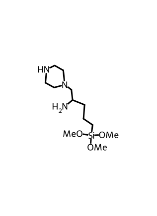 CO[Si](CCCC(N)CN1CCNCC1)(OC)OC